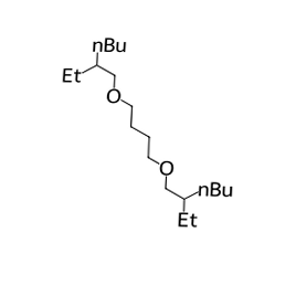 CCCCC(CC)COCCCCOCC(CC)CCCC